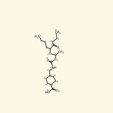 CCCCC(OC(C)OC(=O)NCC1CCC(C(=O)O)CC1)C(=O)CCC